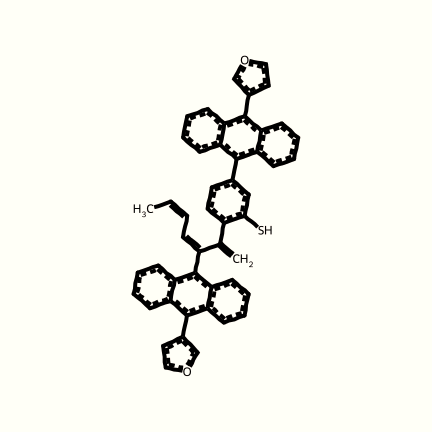 C=C(/C(=C\C=C/C)c1c2ccccc2c(-c2ccoc2)c2ccccc12)c1ccc(-c2c3ccccc3c(-c3ccoc3)c3ccccc23)cc1S